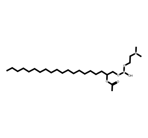 CCCCCCCCCCCCCCCCCCC(COP(O)OCCN(C)C)OC(C)=O